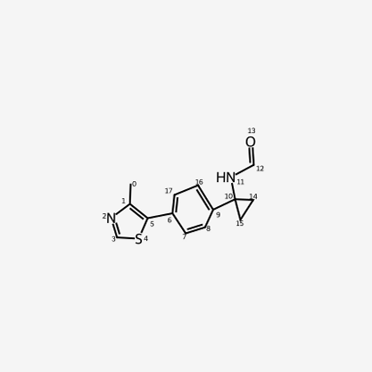 Cc1ncsc1-c1ccc(C2(NC=O)CC2)cc1